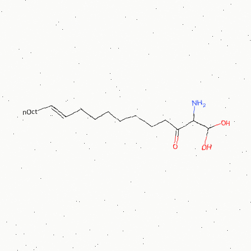 CCCCCCCCC=CCCCCCCCC(=O)C(N)C(O)O